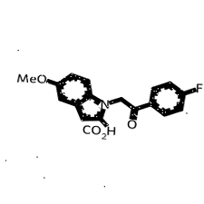 COc1ccc2c(c1)cc(C(=O)O)n2CC(=O)c1ccc(F)cc1